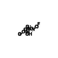 C[C@@H]1CN(C(=O)COc2ccc(C=O)cc2C(=O)O)[C@@H](C)CN1Cc1ccc(F)cc1